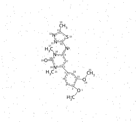 COc1ccc(-c2c/c(=N/c3nnc(C)s3)n(C)c(=O)n2C)cc1OC